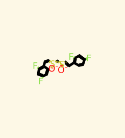 [O-][S+](C=Cc1ccc(F)cc1F)C[S+]([O-])/C=C\c1ccc(F)cc1F